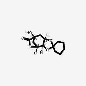 O=C1O[C@@H]2C[C@@]1(O)C[C@H]1OC3(CCCCC3)O[C@@H]21